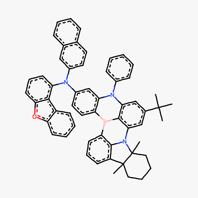 CC(C)(C)c1cc2c3c(c1)N1c4c(cccc4C4(C)CCCCC14C)B3c1ccc(N(c3ccc4ccccc4c3)c3cccc4oc5ccccc5c34)cc1N2c1ccccc1